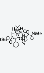 CNC(=O)C(=O)C(CC1CC1)NC(=O)[C@@H]1[C@@H]2[C@H](CN1C(=O)C(NC(=O)OC(C)(C)C)C1CCCCC1)C2(C)C